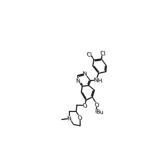 CCC(C)Oc1cc2c(Nc3ccc(Cl)c(Cl)c3)ncnc2cc1OCC1CN(C)CCO1